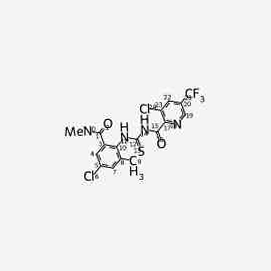 CNC(=O)c1cc(Cl)cc(C)c1NC(=S)NC(=O)c1ncc(C(F)(F)F)cc1Cl